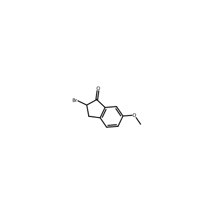 COc1ccc2c(c1)C(=O)C(Br)C2